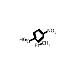 CCC.O=[N+]([O-])c1ccc(OO)cc1